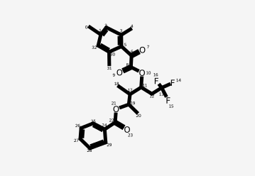 Cc1cc(C)c(C(=O)C(=O)OC(CC(F)(F)F)C(C)C(C)OC(=O)c2ccccc2)c(C)c1